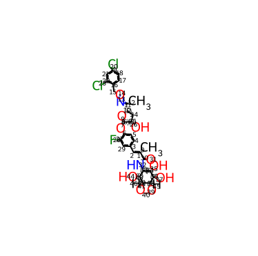 CC(=Cc1ccc(O[C@@H]2O[C@H](C(C)=NOCc3ccc(Cl)cc3Cl)C[C@@H]2O)c(F)c1)C(=O)N[C@@H]1[C@H](O)[C@@H](O)[C@H]2OCO[C@H]2[C@@H]1O